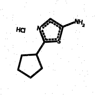 Cl.Nc1cnc(C2CCCC2)s1